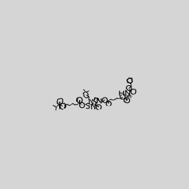 CC(C)OCCn1c(SCOC(=O)CCCCOC(=O)C(C)C)nc(=O)c2c1ccn2COC(=O)CCCCOC(=O)[C@H](C)NC(=O)OCc1ccccc1